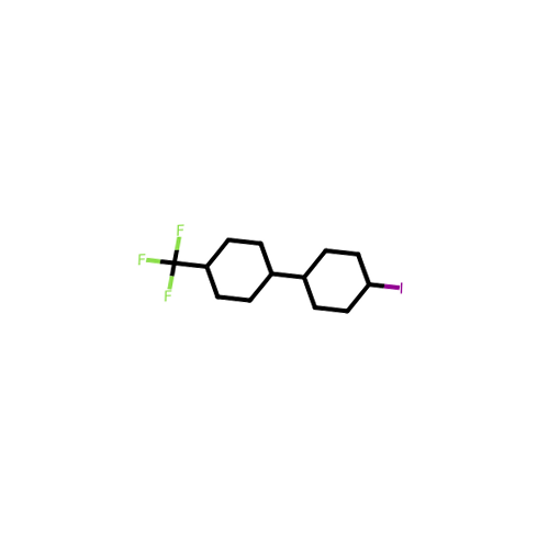 FC(F)(F)C1CCC(C2CCC(I)CC2)CC1